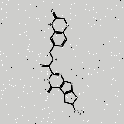 CCOC(=O)C1Cc2sc3nc(C(=O)NCc4ccc5c(c4)NC(=O)CO5)[nH]c(=O)c3c2C1